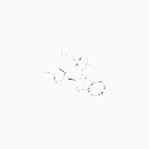 CC1=C2CC(=C1)C(=C1Nc3ccccc3N1)C2.O=S(=O)(O)C(F)(F)F